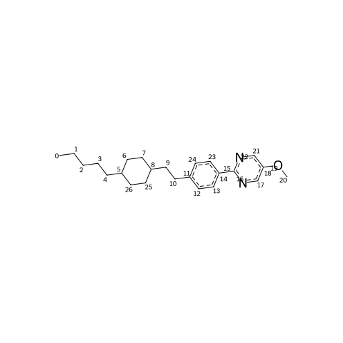 CCCCCC1CCC(CCc2ccc(-c3ncc(OC)cn3)cc2)CC1